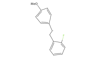 COc1ccc([CH]Cc2ccccc2F)cc1